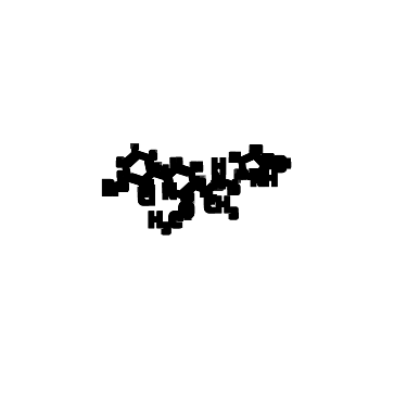 COc1nc(-c2cccc(Br)c2Cl)ccc1[C@H](C)NC[C@@H]1CCC(=O)N1